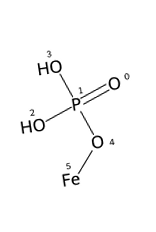 O=P(O)(O)[O][Fe]